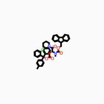 Cc1ccc(C(OC(=O)C[C@@H](C(=O)N2CCCCC2)N(C)C(=O)OCC2c3ccccc3-c3ccccc32)(c2ccccc2)c2ccccc2Cl)cc1